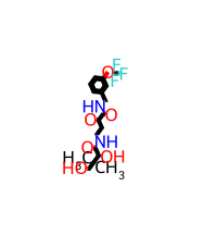 CC(C)(CO)[C@@H](O)C(=O)NCCC(=O)C(=O)NCc1cccc(OC(F)(F)F)c1